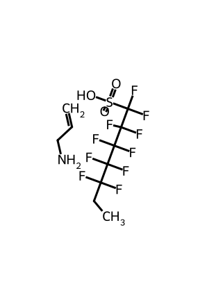 C=CCN.CCC(F)(F)C(F)(F)C(F)(F)C(F)(F)C(F)(F)S(=O)(=O)O